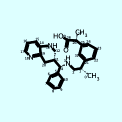 C[C@H](CN[C@H](c1ccccc1)[C@H]1CNc2cccnc2C1)c1cccc([C@@H](C)C(=O)O)c1